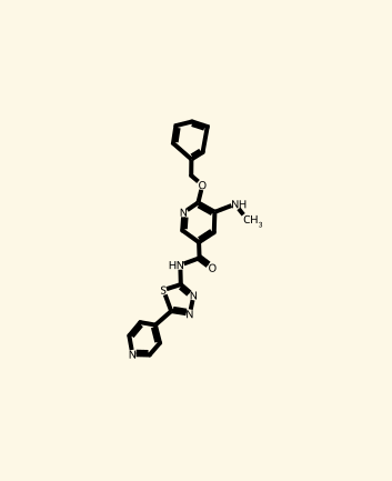 CNc1cc(C(=O)Nc2nnc(-c3ccncc3)s2)cnc1OCc1ccccc1